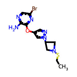 CCSN1CC(n2cc(Oc3nc(Br)cnc3N)cn2)C1